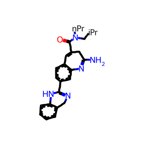 CCCN(CC(C)C)C(=O)C1=Cc2ccc(C3=NCc4ccccc4N3)cc2N=C(N)C1